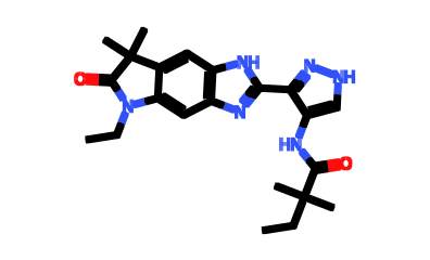 CCN1C(=O)C(C)(C)c2cc3[nH]c(-c4n[nH]cc4NC(=O)C(C)(C)CC)nc3cc21